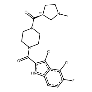 CN1CC[C@H](C(=O)N2CCN(C(=O)c3[nH]c4ccc(F)c(Cl)c4c3Cl)CC2)C1